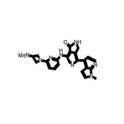 CNC1CN(c2cccc(Nc3cnc(-c4ccnc5c4ccn5C)c4c3C(=O)NC4)n2)C1